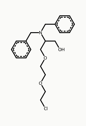 OCC(COCCOCCCl)N(Cc1ccccc1)Cc1ccccc1